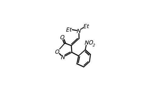 CCN(/C=C1\C(=O)ON=C1c1ccccc1[N+](=O)[O-])CC